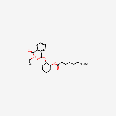 COCCCCCC(=O)OC1CCCCC1OC(=O)c1ccccc1C(=O)OCC(C)=O